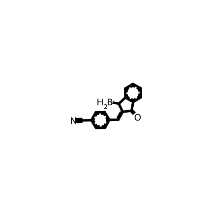 BC1/C(=C\c2ccc(C#N)cc2)C(=O)c2ccccc21